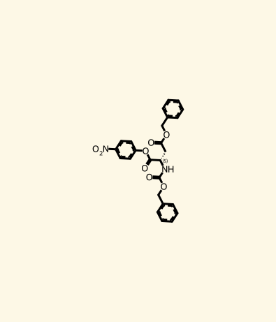 O=C(C[C@H](NC(=O)OCc1ccccc1)C(=O)Oc1ccc([N+](=O)[O-])cc1)OCc1ccccc1